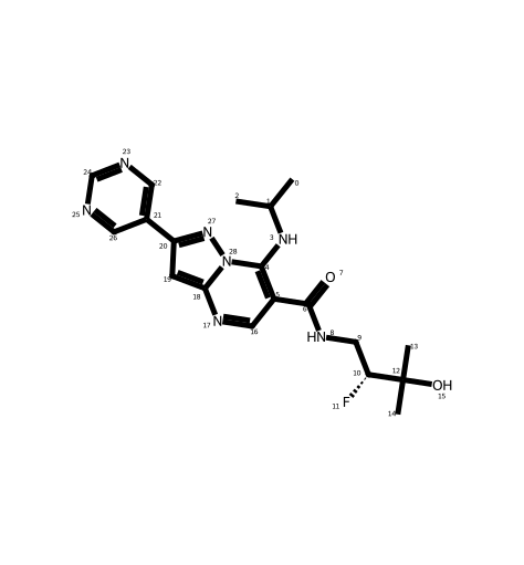 CC(C)Nc1c(C(=O)NC[C@@H](F)C(C)(C)O)cnc2cc(-c3cncnc3)nn12